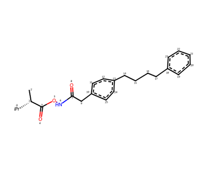 CC(C)[C@H](C)C(=O)ONC(=O)Cc1ccc(CCCCc2ccccc2)cc1